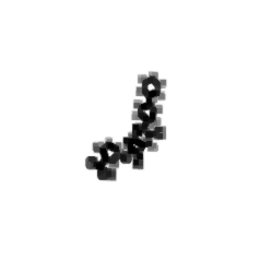 Cc1ccc(Oc2nc3nc(-c4ccc(C5=CCCCC5)cc4)c(Cl)cc3[nH]2)cc1C(=O)O